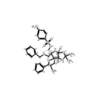 Cc1ccc(S(=O)(=O)OC[C@]2(COCc3ccccc3)O[C@@H]3OC(C)(C)O[C@@H]3[C@]2(CCO)OCc2ccccc2)cc1